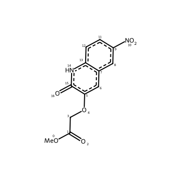 COC(=O)COc1cc2cc([N+](=O)[O-])ccc2[nH]c1=O